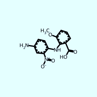 COc1cccc(C(=O)O)c1Nc1ccc(N)cc1[N+](=O)[O-]